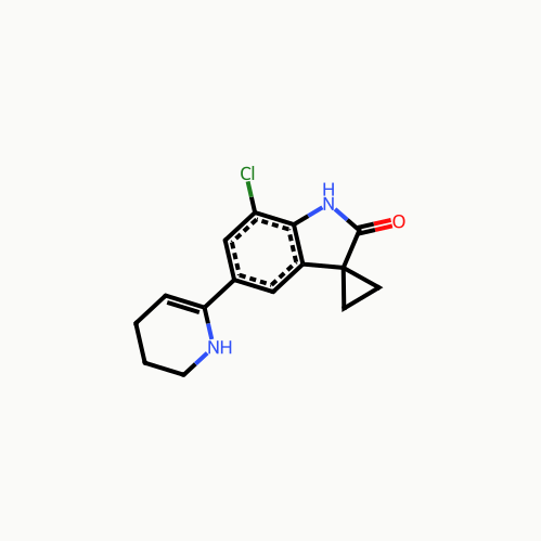 O=C1Nc2c(Cl)cc(C3=CCCCN3)cc2C12CC2